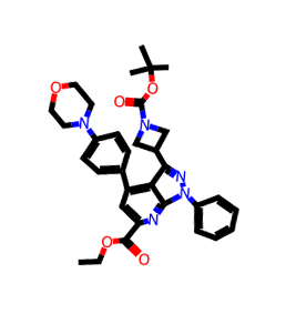 CCOC(=O)c1cc(-c2ccc(N3CCOCC3)cc2)c2c(C3CN(C(=O)OC(C)(C)C)C3)nn(-c3ccccc3)c2n1